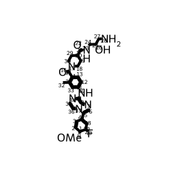 COC1C=CC(c2cnc3c(Nc4ccc(C(=O)N5CCC(C(=O)NCC(O)CN)CC5)c(C)c4)nccn23)=CC1F